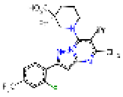 CC[C@]1(C(=O)O)CCCN(c2c(C(C)C)c(C)nc3cc(-c4ccc(C(F)(F)F)cc4F)nn23)C1